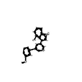 COc1cccc(-c2cncc(-c3c[nH]c4cccc(Cl)c34)c2)c1